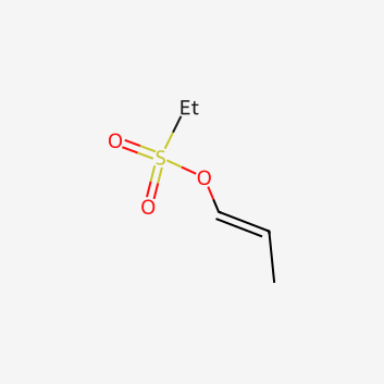 CC=COS(=O)(=O)CC